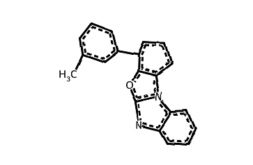 Cc1cccc(-c2cccc3c2oc2nc4ccccc4n23)c1